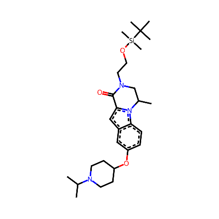 CC(C)N1CCC(Oc2ccc3c(c2)cc2n3C(C)CN(CCO[Si](C)(C)C(C)(C)C)C2=O)CC1